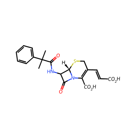 CC(C)(C(=O)NC1C(=O)N2C(C(=O)O)=C(C=CC(=O)O)CS[C@@H]12)c1ccccc1